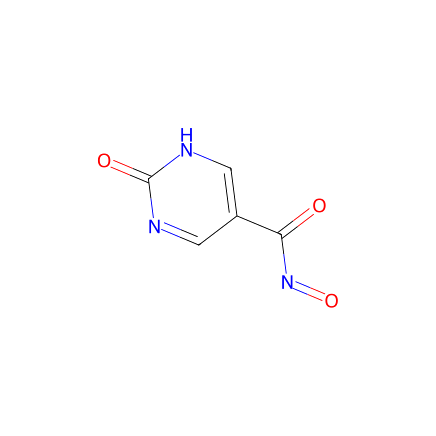 O=NC(=O)c1cnc(=O)[nH]c1